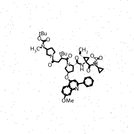 C=C[C@@H]1C[C@]1(NC(=O)[C@@H]1C[C@@H](Oc2cc(-c3ccccc3)nc3cc(OC)ccc23)CN1C(=O)[C@@H](CC(=O)N1CCC(N(C)C(=O)OC(C)(C)C)C1)C(C)(C)C)C(=O)N(C1CC1)[SH](=O)=O